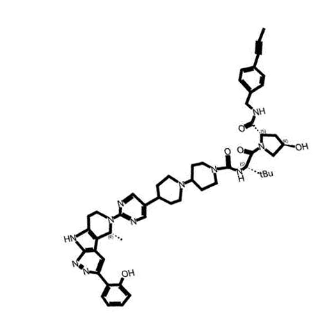 CC#Cc1ccc(CNC(=O)[C@@H]2C[C@@H](O)CN2C(=O)[C@@H](NC(=O)N2CCC(N3CCC(c4cnc(N5CCc6[nH]c7nnc(-c8ccccc8O)cc7c6[C@H]5C)nc4)CC3)CC2)C(C)(C)C)cc1